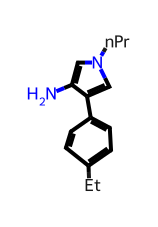 [CH2]CCn1cc(N)c(-c2ccc(CC)cc2)c1